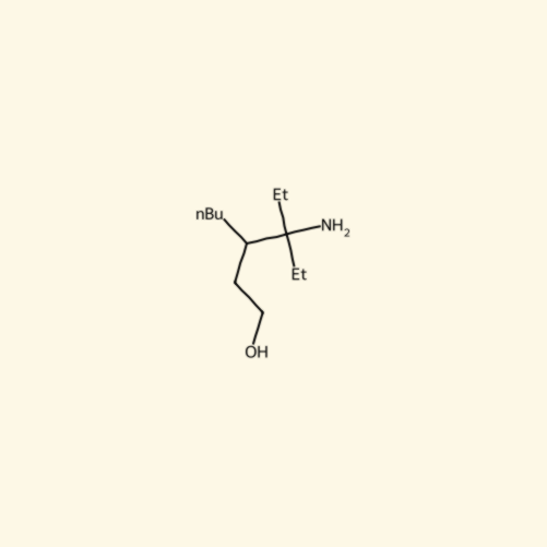 CCCCC(CCO)C(N)(CC)CC